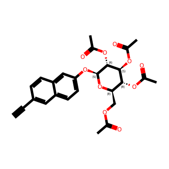 C#Cc1ccc2cc(O[C@@H]3O[C@H](COC(C)=O)[C@@H](OC(C)=O)[C@H](OC(C)=O)[C@H]3OC(C)=O)ccc2c1